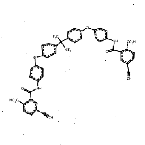 C#Cc1ccc(C(=O)O)c(C(=O)Nc2ccc(Oc3ccc(C(c4ccc(Oc5ccc(NC(=O)c6cc(C#C)ccc6C(=O)O)cc5)cc4)(C(F)(F)F)C(F)(F)F)cc3)cc2)c1